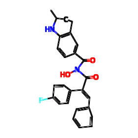 CC1CCc2cc(C(=O)N(O)C(=O)C(=Cc3ccccc3)c3ccc(F)cc3)ccc2N1